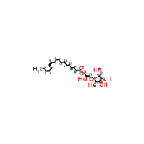 CC/C=C\C/C=C\C/C=C\CCCCCCCC(=O)OC[C@@H](O)CO[C@@H]1O[C@H](CO)[C@@H](O)[C@H](O)[C@H]1O